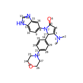 CN(C)C1=CC(=O)N(c2ccc3[nH]cnc3c2)C1c1ccc(N2CCOCC2)cc1